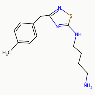 Cc1ccc(Cc2nsc(NCCCCN)n2)cc1